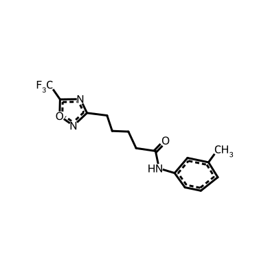 Cc1cccc(NC(=O)CCCCc2noc(C(F)(F)F)n2)c1